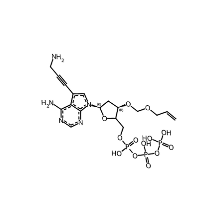 C=CCOCO[C@@H]1C[C@H](n2cc(C#CCN)c3c(N)ncnc32)OC1COP(=O)(O)OP(=O)(O)OP(=O)(O)O